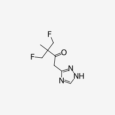 CC(CF)(CF)C(=O)Cc1nc[nH]n1